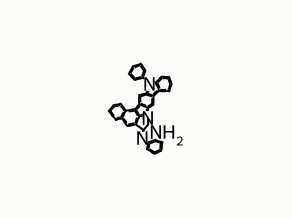 Nc1ccccc1/N=C1\Cn2c3cc4c5ccccc5n(-c5ccccc5)c4cc3c3c4ccccc4cc1c32